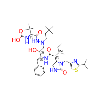 CC[C@H](C)[C@H](C(=O)N[C@@H](Cc1ccccc1)[C@@H](O)CN(CCC(C)(C)C)NC(=O)[C@@H](NC(=O)O)C(C)(C)C)C1CNC(=O)N1Cc1csc(C(C)C)n1